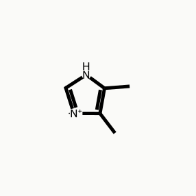 CC1=C(C)NC=[N+]1